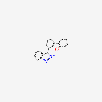 Cc1ccc2c(oc3ccccc32)c1-c1c2ccccc2nc[n+]1C